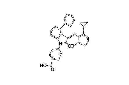 O=C(O)c1ccc(N2C(=O)/C(=C\c3c(Cl)cccc3C3CC3)c3c(-c4ccccc4)cccc32)cc1